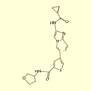 O=C(NC1CCOC1)c1cc(-c2ccc3nc(NC(=O)C4CC4)cn3c2)cs1